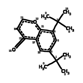 CC(C)(C)c1cc(C(C)(C)C)c2occc(=O)c2c1